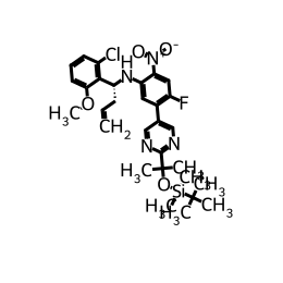 C=CC[C@@H](Nc1cc(-c2cnc(C(C)(C)O[Si](C)(C)C(C)(C)C)nc2)c(F)cc1[N+](=O)[O-])c1c(Cl)cccc1OC